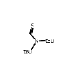 CC(C)(C)N(C=S)C(C)(C)C